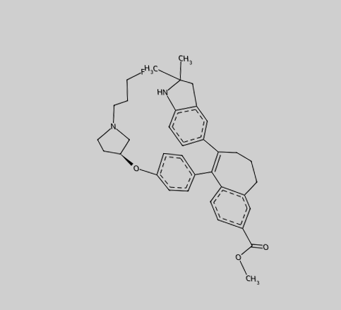 COC(=O)c1ccc2c(c1)CCCC(c1ccc3c(c1)CC(C)(C)N3)=C2c1ccc(O[C@H]2CCN(CCCF)C2)cc1